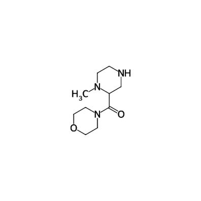 CN1CCNCC1C(=O)N1CCOCC1